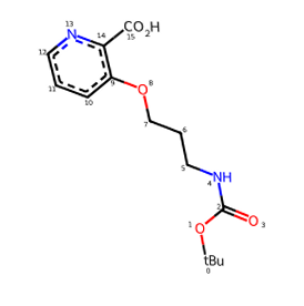 CC(C)(C)OC(=O)NCCCOc1cccnc1C(=O)O